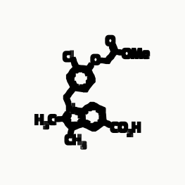 COC(=O)COc1ccc(Cn2c(C)c(C)c3cc(C(=O)O)ccc32)cc1Cl